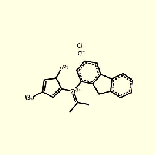 CCCC1C=C(C(C)(C)C)C=[C]1[Zr+2](=[C](C)C)[c]1cccc2c1Cc1ccccc1-2.[Cl-].[Cl-]